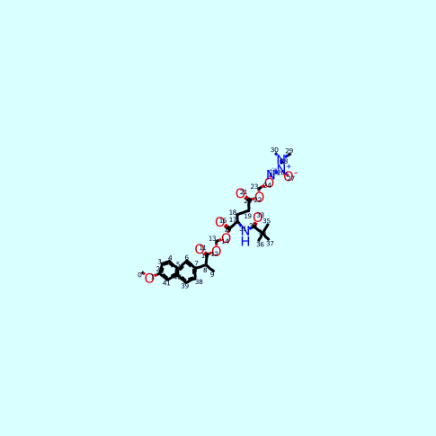 COc1ccc2cc(C(C)C(=O)OCOC(=O)C(CCC(=O)OCO/N=[N+](\[O-])N(C)C)NC(=O)C(C)(C)C)ccc2c1